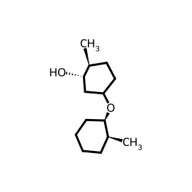 C[C@H]1CCC(O[C@@H]2CCCC[C@@H]2C)C[C@@H]1O